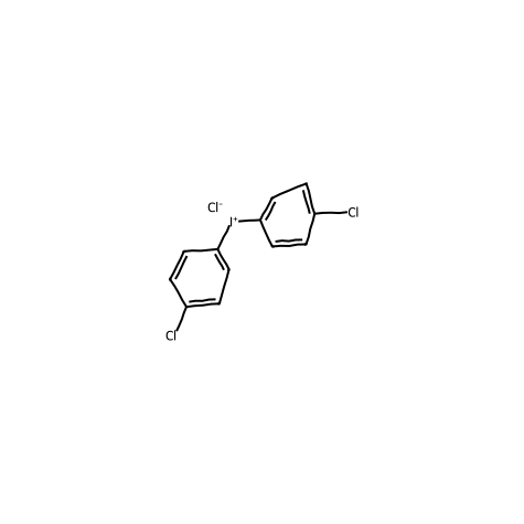 Clc1ccc([I+]c2ccc(Cl)cc2)cc1.[Cl-]